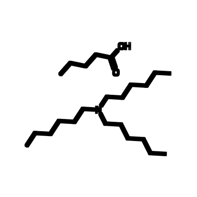 CCCCC(=O)O.CCCCCCN(CCCCCC)CCCCCC